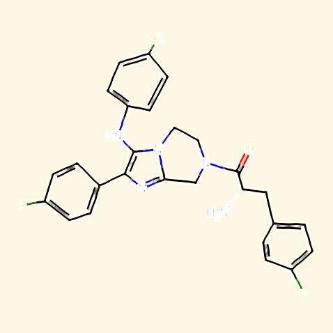 N[C@@H](Cc1ccc(F)cc1)C(=O)N1CCn2c(nc(-c3ccc(F)cc3)c2Nc2ccc(Cl)cc2)C1